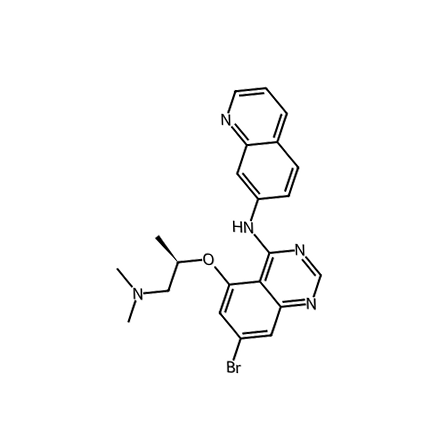 C[C@H](CN(C)C)Oc1cc(Br)cc2ncnc(Nc3ccc4cccnc4c3)c12